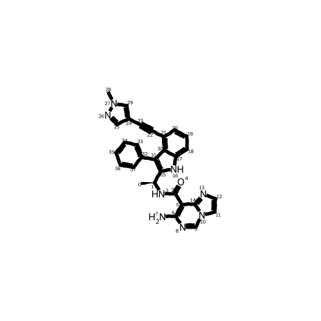 C[C@H](NC(=O)c1c(N)ncn2ccnc12)c1[nH]c2cccc(C#Cc3cnn(C)c3)c2c1-c1ccccc1